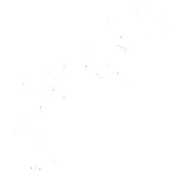 CSc1ccc(C=CC(=O)N2CCC(C(=O)N[C@@H](CNC(=O)c3ccccc3C)C(=O)O)CC2)c(Cl)c1Cl